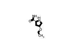 CCO[C@H]1CN[C@@H](C(N)=O)C1